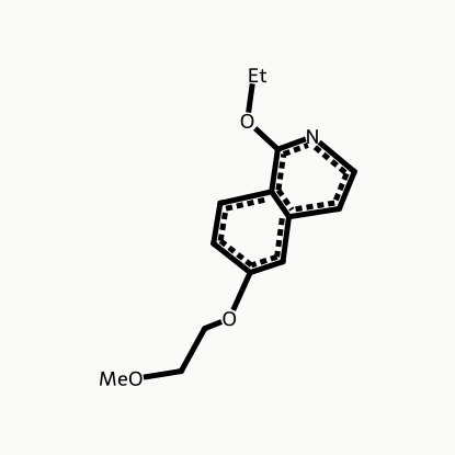 CCOc1nccc2cc(OCCOC)ccc12